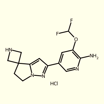 Cl.Nc1ncc(-c2cc3n(n2)CCC32CNC2)cc1OC(F)F